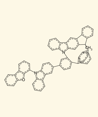 CC12c3ccccc3-c3cc4c5ccccc5n(c4cc31)-c1cc(-c3ccc4c(c3)c3ccccc3n4-c3cccc4c3oc3ccccc34)ccc1-c1ccc2c2ccccc12